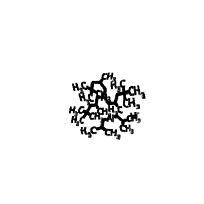 CC(C)[CH2][Al+][CH2]C(C)C.CC([CH2][Al]([CH2]C(C)CC(C)(C)C)[CH2]C(C)CC(C)(C)C)CC(C)(C)C.[H-]